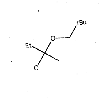 CCC(C)([O])OCC(C)(C)C